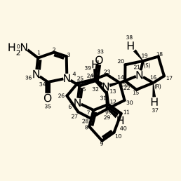 Nc1ccn(-c2nc3ccccc3n([C@@H]3C[C@H]4CC[C@@H](C3)N4C3C[C@H]4CCCC[C@@H](C3)C4)c2=O)c(=O)n1